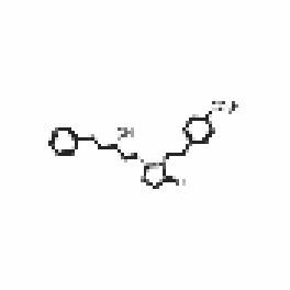 O=C(O)c1ccc(CCN2C(=O)CC[C@@H]2C=C[C@@H](O)CCc2ccccc2)cc1